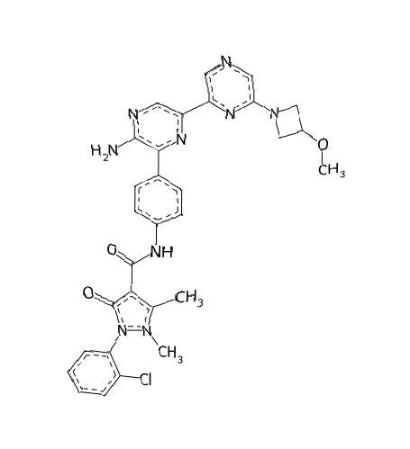 COC1CN(c2cncc(-c3cnc(N)c(-c4ccc(NC(=O)c5c(C)n(C)n(-c6ccccc6Cl)c5=O)cc4)n3)n2)C1